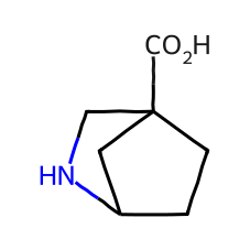 O=C(O)C12CCC(C1)NC2